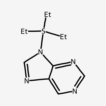 CCS(CC)(CC)n1cnc2cncnc21